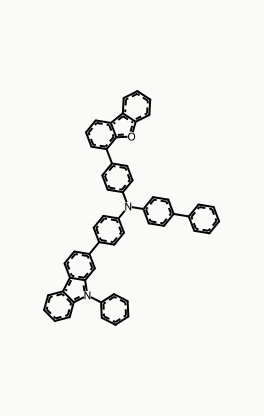 c1ccc(-c2ccc(N(c3ccc(-c4ccc5c6ccccc6n(-c6ccccc6)c5c4)cc3)c3ccc(-c4cccc5c4oc4ccccc45)cc3)cc2)cc1